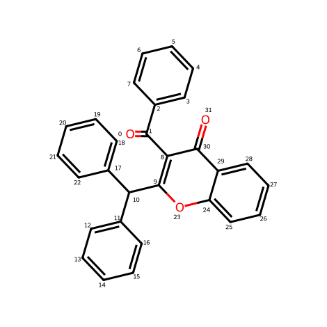 O=C(c1ccccc1)c1c(C(c2ccccc2)c2ccccc2)oc2ccccc2c1=O